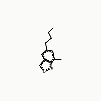 CCCCc1cc(C)c2[nH]ncc2c1